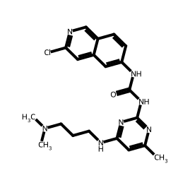 Cc1cc(NCCCN(C)C)nc(NC(=O)Nc2ccc3cnc(Cl)cc3c2)n1